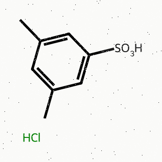 Cc1cc(C)cc(S(=O)(=O)O)c1.Cl